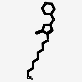 CCCCCCCCSC1=CC(OC2CCOCC2)CC1=O